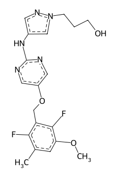 COc1cc(C)c(F)c(COc2cnc(Nc3cnn(CCCO)c3)nc2)c1F